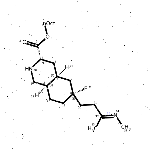 CCCCCCCCOC(=O)[C@@H]1C[C@H]2C[C@@](F)(CC/C(C)=N/C)CC[C@H]2CN1